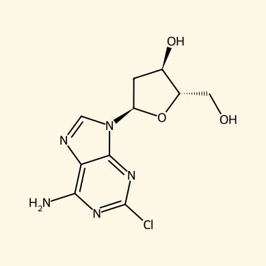 Nc1nc(Cl)nc2c1ncn2[C@H]1C[C@@H](O)[C@H](CO)O1